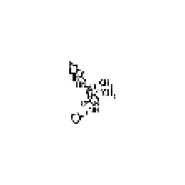 CC(C)Nc1cnc(NCCc2ccccc2)c(=O)n1CC(=O)NCc1cc2cnccc2[nH]1